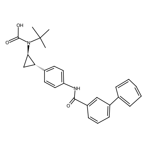 CC(C)(C)N(C(=O)O)[C@@H]1C[C@H]1c1ccc(NC(=O)c2cccc(-c3ccccc3)c2)cc1